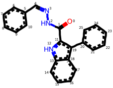 O=C(N/N=C\c1ccccc1)c1[nH]c2ccccc2c1-c1ccccc1